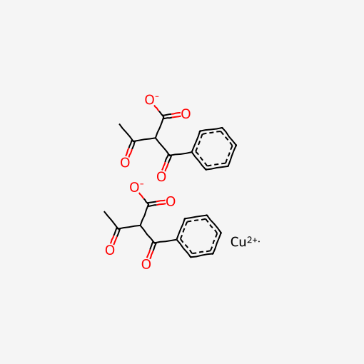 CC(=O)C(C(=O)[O-])C(=O)c1ccccc1.CC(=O)C(C(=O)[O-])C(=O)c1ccccc1.[Cu+2]